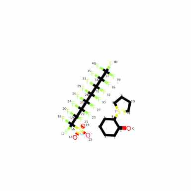 O=C1CCCCC1[S+]1CCCC1.O=S(=O)([O-])C(F)(F)C(F)(F)C(F)(F)C(F)(F)C(F)(F)C(F)(F)C(F)(F)C(F)(F)F